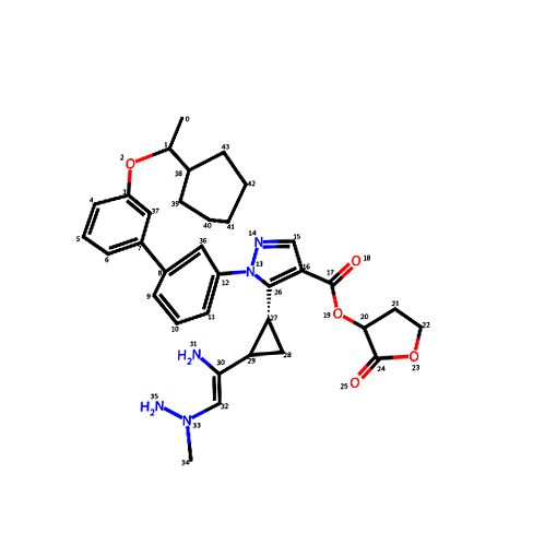 CC(Oc1cccc(-c2cccc(-n3ncc(C(=O)OC4CCOC4=O)c3[C@@H]3CC3/C(N)=C/N(C)N)c2)c1)C1CCCCC1